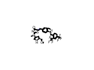 COC[C@@H]1CC(N(C)C2=NC(=O)/C(=C/c3ccc4c(cnn4Cc4ccc(C(F)(F)F)cc4C(F)(F)F)c3)S2)CN1